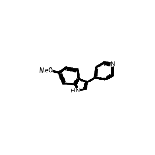 COc1ccc2c(-c3ccncc3)c[nH]c2c1